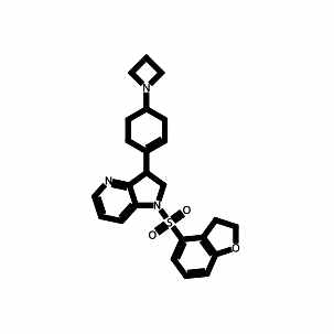 O=S(=O)(c1cccc2c1CCO2)N1CC(C2=CCC(N3CCC3)CC2)c2ncccc21